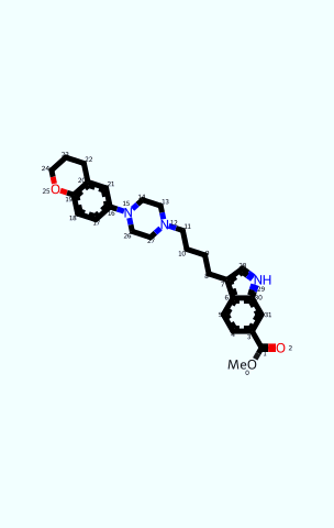 COC(=O)c1ccc2c(CCCCN3CCN(c4ccc5c(c4)CCCO5)CC3)c[nH]c2c1